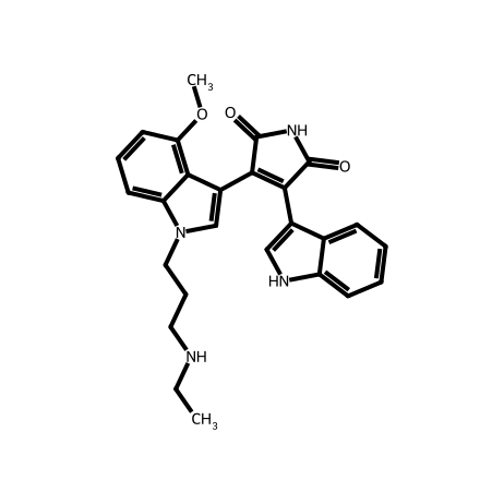 CCNCCCn1cc(C2=C(c3c[nH]c4ccccc34)C(=O)NC2=O)c2c(OC)cccc21